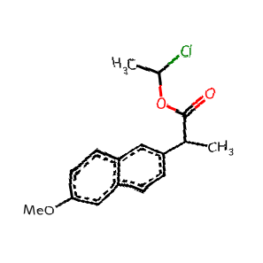 COc1ccc2cc(C(C)C(=O)OC(C)Cl)ccc2c1